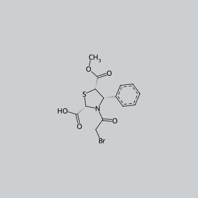 COC(=O)[C@H]1S[C@@H](C(=O)O)N(C(=O)CBr)[C@H]1c1ccccc1